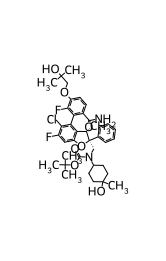 C[C@H]1c2c(cc(F)c(Cl)c2-c2c(C(N)=O)ccc(OCC(C)(C)O)c2F)O[C@]1(CN(C(=O)OC(C)(C)C)C1CCC(C)(O)CC1)c1ccccc1